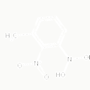 Cc1cccc(N(O)O)c1[N+](=O)[O-]